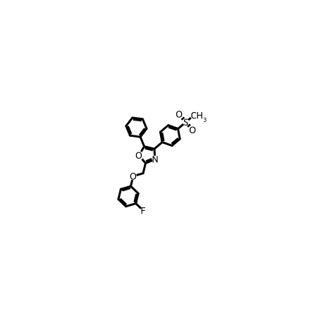 CS(=O)(=O)c1ccc(-c2nc(COc3cccc(F)c3)oc2-c2ccccc2)cc1